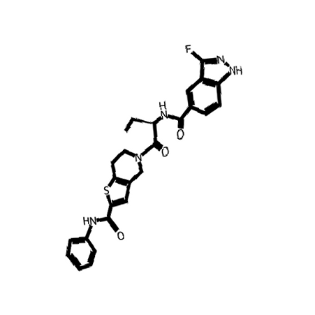 CC[C@@H](NC(=O)c1ccc2[nH]nc(F)c2c1)C(=O)N1CCc2sc(C(=O)Nc3ccccc3)cc2C1